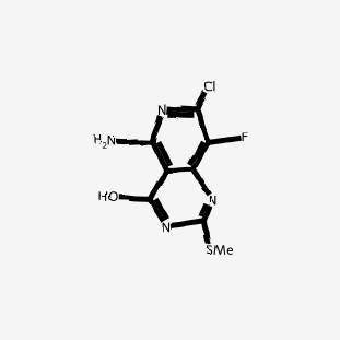 CSc1nc(O)c2c(N)nc(Cl)c(F)c2n1